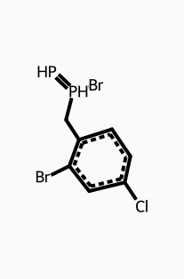 P=[PH](Br)Cc1ccc(Cl)cc1Br